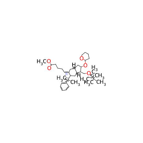 COC(=O)CCC/C=C1\C[C@@H]2CC(OC3CCCCO3)C(CO[Si](C)(C)C(C)(C)C)[C@@H]2CC1[Si](C)(C)c1ccccc1